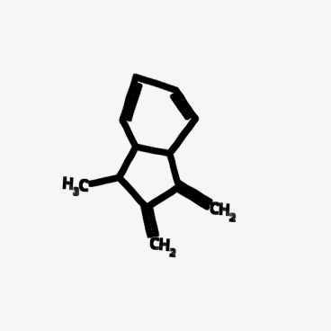 C=C1C(=C)C2C=CC=CC2C1C